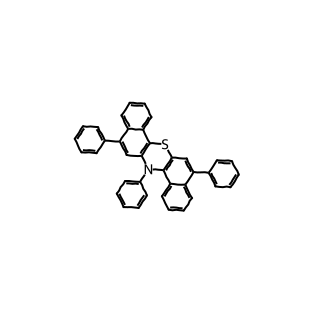 c1ccc(-c2cc3c(c4ccccc24)Sc2cc(-c4ccccc4)c4ccccc4c2N3c2ccccc2)cc1